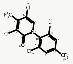 O=c1c(Cl)c(C(F)(F)F)c(Cl)cn1-c1c(Cl)cc(C(F)(F)F)cc1Cl